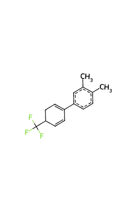 Cc1ccc(C2=CCC(C(F)(F)F)C=C2)cc1C